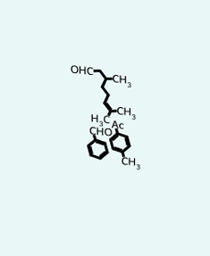 CC(=O)c1ccc(C)cc1.CC(C)=CCCC(C)CC=O.O=Cc1ccccc1